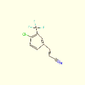 N#CC=Cc1ccc(Cl)c(C(F)(F)F)c1